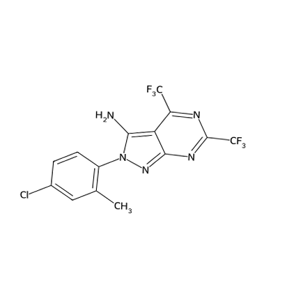 Cc1cc(Cl)ccc1-n1nc2nc(C(F)(F)F)nc(C(F)(F)F)c2c1N